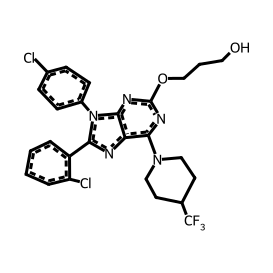 OCCCOc1nc(N2CCC(C(F)(F)F)CC2)c2nc(-c3ccccc3Cl)n(-c3ccc(Cl)cc3)c2n1